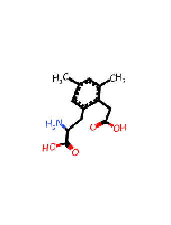 Cc1cc(C)c(CC(=O)O)c(CC(N)C(=O)O)c1